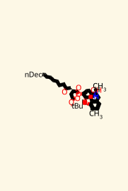 CCCCCCCCCCCCCCCCCC(=O)C[C@@H](CC(=O)OC(C)(C)C)C(=O)OC1=CC[C@@]2(O)[C@H]3Cc4ccc(C)c5c4[C@@]2(CCN3C)[C@H]1O5